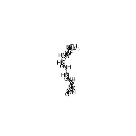 Cn1ncc(-c2nc(N[C@H]3CC[C@H](NCC(=O)NCCCCNCC(=O)NCc4scc5c4CN(C4CCC(=O)NC4=O)C5=O)CC3)ncc2F)c1CC1CC1